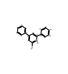 Ic1cc(-c2ccccc2)cc(-c2ccccc2)n1